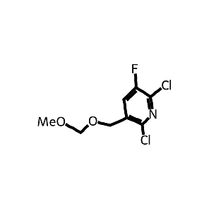 COCOCc1cc(F)c(Cl)nc1Cl